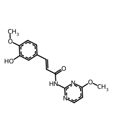 COc1ccnc(NC(=O)C=Cc2ccc(OC)c(O)c2)n1